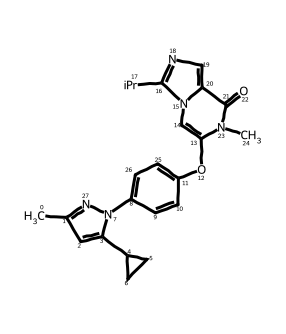 Cc1cc(C2CC2)n(-c2ccc(Oc3cn4c(C(C)C)ncc4c(=O)n3C)cc2)n1